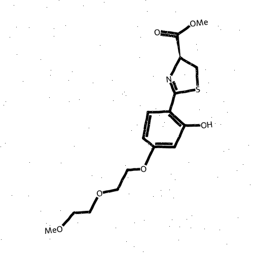 COCCOCCOc1ccc(C2=N[C@@H](C(=O)OC)CS2)c(O)c1